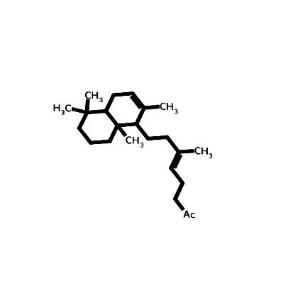 CC(=O)CCC=C(C)CCC1C(C)=CCC2C(C)(C)CCCC12C